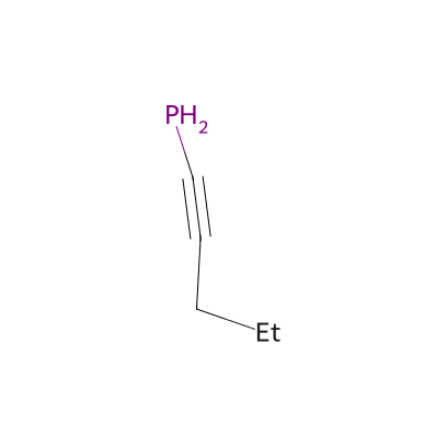 CCCC#CP